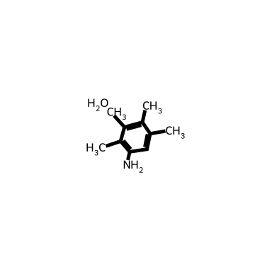 Cc1cc(N)c(C)c(C)c1C.O